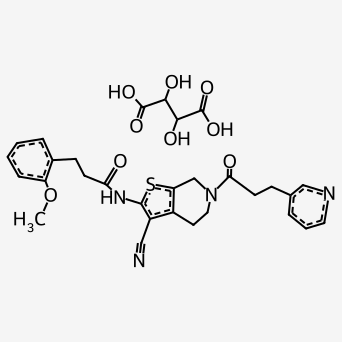 COc1ccccc1CCC(=O)Nc1sc2c(c1C#N)CCN(C(=O)CCc1cccnc1)C2.O=C(O)C(O)C(O)C(=O)O